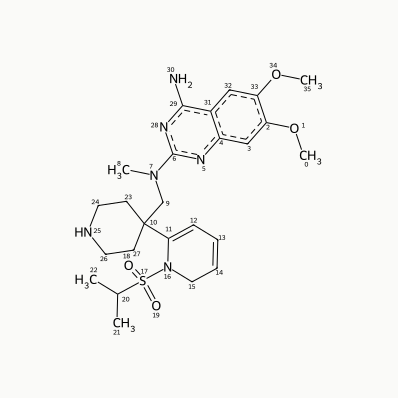 COc1cc2nc(N(C)CC3(C4=CC=CCN4S(=O)(=O)C(C)C)CCNCC3)nc(N)c2cc1OC